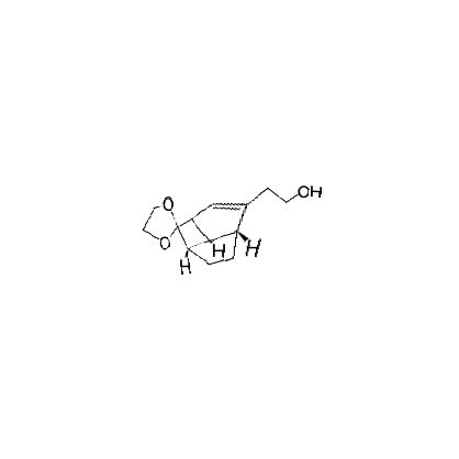 OCCC1=CC2[C@@H]3[C@H]1CC[C@@H]3C21OCCO1